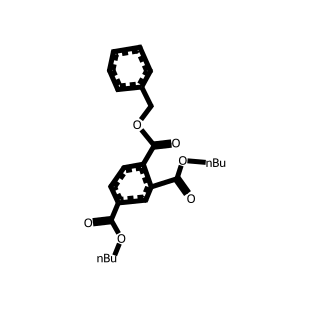 CCCCOC(=O)c1ccc(C(=O)OCc2ccccc2)c(C(=O)OCCCC)c1